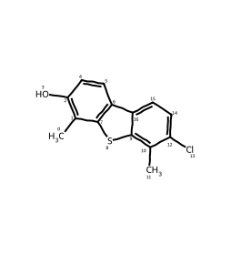 Cc1c(O)ccc2c1sc1c(C)c(Cl)ccc12